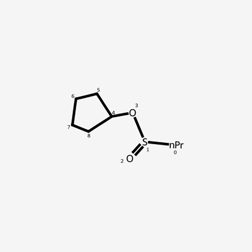 CCCS(=O)OC1CCCC1